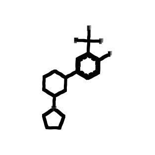 Fc1ccc(C2CCCC(N3CCCC3)C2)cc1C(F)(F)F